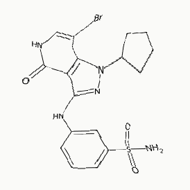 NS(=O)(=O)c1cccc(Nc2nn(C3CCCC3)c3c(Br)c[nH]c(=O)c23)c1